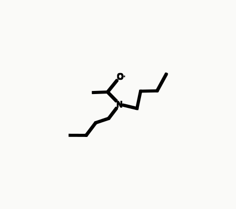 CCCCN(CCCC)C(C)[O]